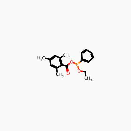 CCOP(OC(=O)c1c(C)cc(C)cc1C)c1ccccc1